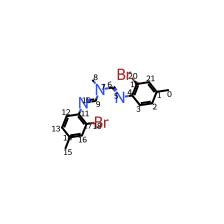 Cc1ccc(N=CN(C)C=Nc2ccc(C)cc2Br)c(Br)c1